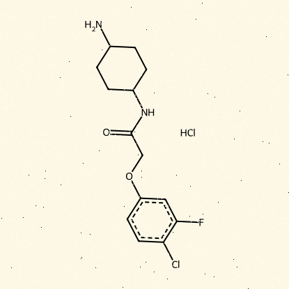 Cl.NC1CCC(NC(=O)COc2ccc(Cl)c(F)c2)CC1